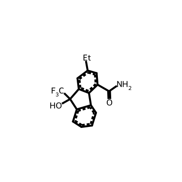 CCc1cc(C(N)=O)c2c(c1)C(O)(C(F)(F)F)c1ccccc1-2